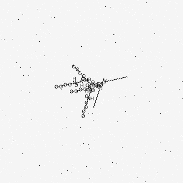 CCCCCCCCCCCCCCCC(=O)OCC(CSCC(N)C(=O)NC(CCC(=O)N(CCOCCOCCOCCOC)CC(=O)NCCCC(=O)NCCOCCOCCOCCOC)C(=O)N(CCOCCOCCOCCOC)CC(=O)NCCCC(=O)NCCOCCOCCOCCOC)OC(=O)CCCCCCCCCCCCCCC